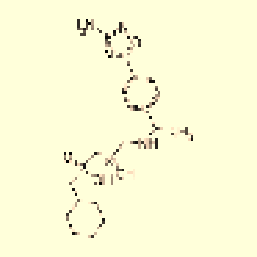 CC(NC[C@H](O)CP(=O)(O)CC1CCCCC1)c1ccc(-c2nc(N)no2)cc1